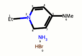 Br.CCN1C=CC(NC)=CC1.N